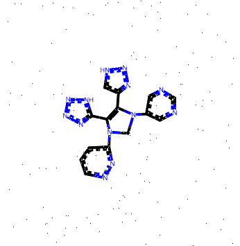 [CH]1N(c2cncnc2)C(c2c[nH]nn2)=C(c2nnn[nH]2)N1c1cccnn1